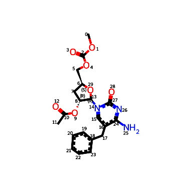 COC(=O)OC[C@@H]1C[C@@H](OC(C)=O)[C@H](n2cc(Cc3ccccc3)c(N)nc2=O)O1